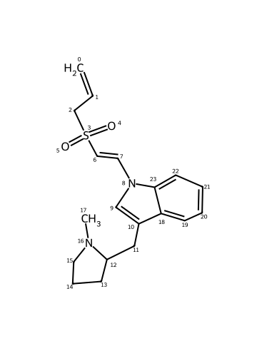 C=CCS(=O)(=O)C=Cn1cc(CC2CCCN2C)c2ccccc21